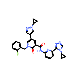 O=C(Nc1cccc(-c2nncn2C2CC2)n1)c1cc(-c2cnn(C3CC3)c2)cn(Cc2ccccc2F)c1=O